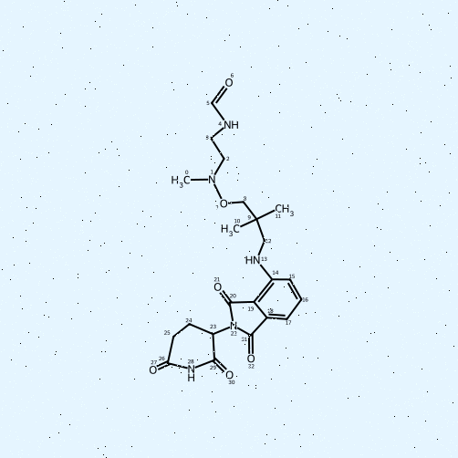 CN(CCNC=O)OCC(C)(C)CNc1cccc2c1C(=O)N(C1CCC(=O)NC1=O)C2=O